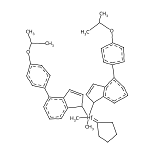 CC(C)Oc1ccc(-c2cccc3c2C=C[CH]3[Hf]([CH3])([CH3])(=[C]2CCCC2)[CH]2C=Cc3c(-c4ccc(OC(C)C)cc4)cccc32)cc1